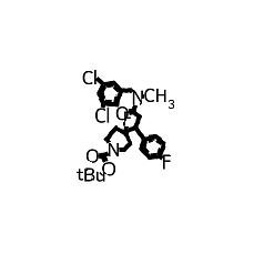 CN(Cc1cc(Cl)cc(Cl)c1)C(=O)CC(c1ccc(F)cc1)C1(F)CCN(C(=O)OC(C)(C)C)CC1